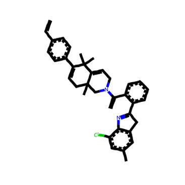 C=Cc1ccc(C2=CCC3(C)CN(C(=C)c4ccccc4C4=Nc5c(Cl)cc(C)cc5C4)CC=C3C2(C)C)cc1